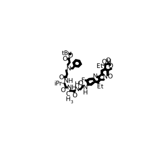 CCc1c2c(nc3cc(F)c(NC(=O)CNC(=O)[C@H](C)NC(=O)[C@@H](NC(=O)CCN(CCC(=O)OC(C)(C)C)Cc4ccccc4)C(C)C)cc13)-c1cc3c(c(=O)n1C2)COC(=O)[C@]3(O)CC